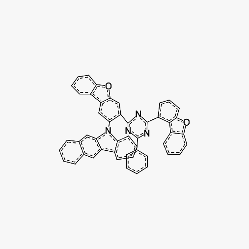 c1ccc(-c2nc(-c3cc4oc5ccccc5c4cc3-n3c4ccccc4c4cc5ccccc5cc43)nc(-c3cccc4oc5ccccc5c34)n2)cc1